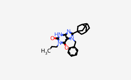 CCCn1c(=O)[nH]c2nc(C34CC5CC(C3)C(C5)C4)n(Cc3ccccc3)c2c1=O